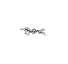 C=C1CC/C(=C\C=C2/CCC[C@]3(C)[C@@H]([C@@H](C)CCCC(C)(C)O)CC[C@@H]23)C[C@H]1O